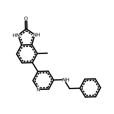 Cc1c(-c2cncc(NCc3ccccc3)c2)ccc2[nH]c(=O)[nH]c12